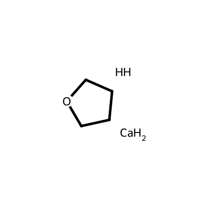 C1CCOC1.[CaH2].[HH]